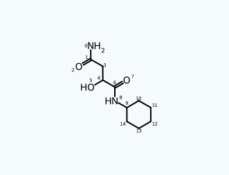 NC(=O)CC(O)C(=O)NC1CCCCC1